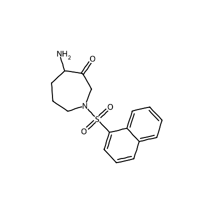 NC1CCCN(S(=O)(=O)c2cccc3ccccc23)CC1=O